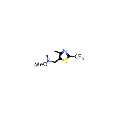 CON(C)Cc1sc(C(F)(F)F)nc1C